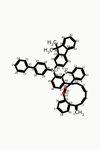 C=C1/C=C\C=C/CC2(c3ccccc3Sc3c(N(c4ccc(-c5ccccc5)cc4)c4ccc5c(c4)C(C)(C)c4ccccc4-5)cccc32)c2ccccc2-c2ccccc21